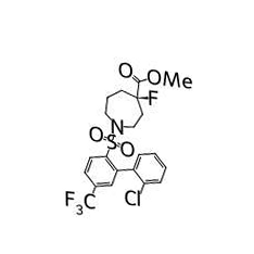 COC(=O)[C@@]1(F)CCCN(S(=O)(=O)c2ccc(C(F)(F)F)cc2-c2ccccc2Cl)CC1